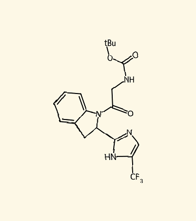 CC(C)(C)OC(=O)NCC(=O)N1c2ccccc2CC1c1ncc(C(F)(F)F)[nH]1